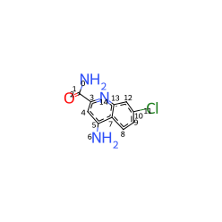 NC(=O)c1cc(N)c2ccc(Cl)cc2n1